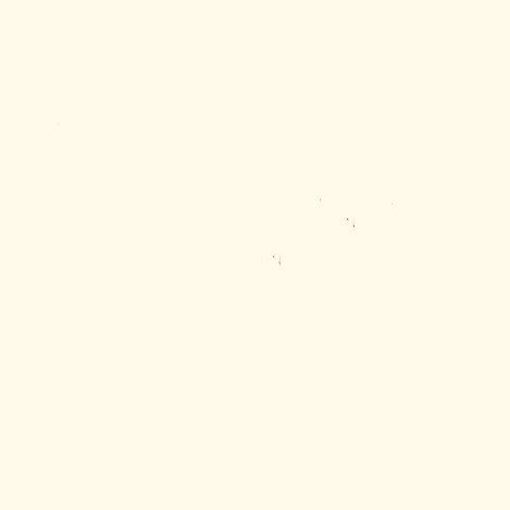 CC(CNc1ccc(C(C)C)cc1[N+](=O)[O-])Cc1ccc(Cl)cc1